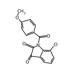 COc1ccc(C(=O)N2C(=O)C(=O)c3cccc(Cl)c32)cc1